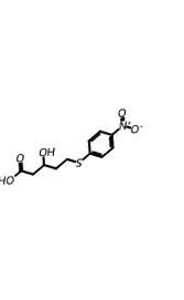 O=C(O)CC(O)CCSc1ccc([N+](=O)[O-])cc1